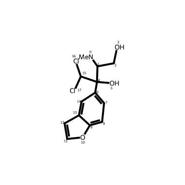 CNC(CO)C(O)(c1ccc2occc2c1)C(Cl)Cl